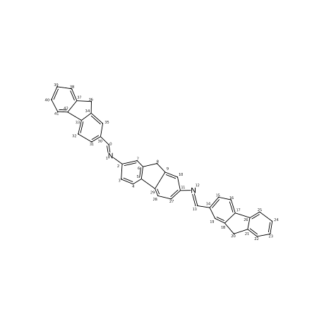 C(=Nc1ccc2c(c1)Cc1cc(N=Cc3ccc4c(c3)Cc3ccccc3-4)ccc1-2)c1ccc2c(c1)Cc1ccccc1-2